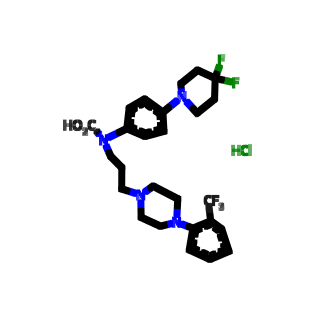 Cl.O=C(O)N(CCCN1CCN(c2ccccc2C(F)(F)F)CC1)c1ccc(N2CCC(F)(F)CC2)cc1